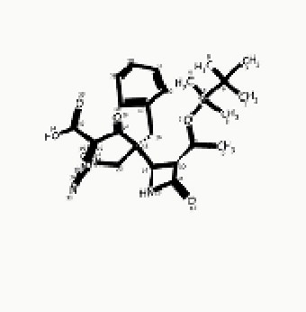 CC(O[Si](C)(C)C(C)(C)C)[C@H]1C(=O)N[C@H]1[C@@](Cc1ccccc1)(C[N+](=O)[O-])C(=O)C(=[N+]=[N-])C(=O)O